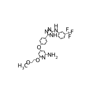 COCCOc1cc(Oc2ccc(-c3nnc(Nc4cccc(C(F)(F)F)c4)[nH]3)cc2)cc(N)n1